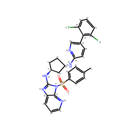 Cc1ccc(S(=O)(=O)n2c(N[C@H]3CC[C@H](Nc4ccc(-c5c(F)cccc5F)cn4)C3)nc3cccnc32)cc1